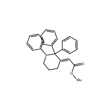 CC(C)(C)OC(=O)C=C1CCCP(c2ccccc2)C1(c1ccccc1)c1ccccc1